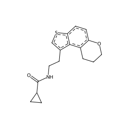 O=C(NCCc1csc2ccc3c(c12)CCCO3)C1CC1